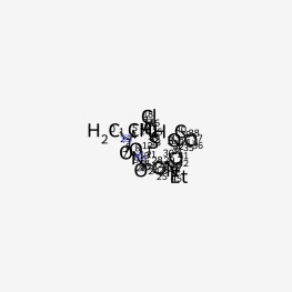 C=C/C=C(\C=C)C(=O)O/N=C(\CCSc1ccc(Cl)cc1)C(=O)c1ccc2c(c1)c1cc(C(=O)c3ccccc3C)ccc1n2CC